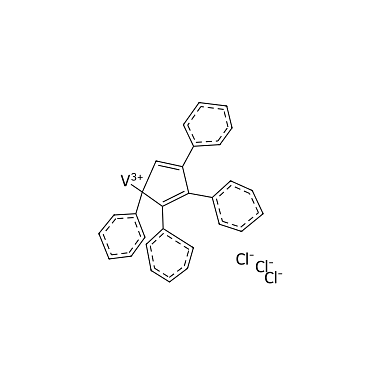 [Cl-].[Cl-].[Cl-].[V+3][C]1(c2ccccc2)C=C(c2ccccc2)C(c2ccccc2)=C1c1ccccc1